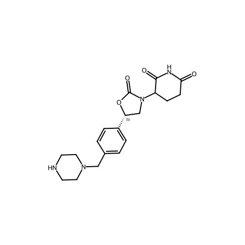 O=C1CCC(N2C[C@H](c3ccc(CN4CCNCC4)cc3)OC2=O)C(=O)N1